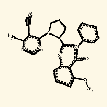 COc1cccc2nc([C@@H]3CCCN3c3ncnc(N)c3C#N)n(-c3ccccc3)c(=O)c12